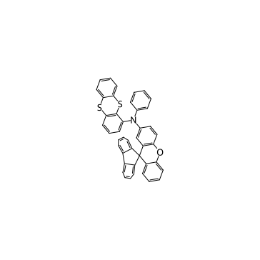 c1ccc(N(c2ccc3c(c2)C2(c4ccccc4O3)c3ccccc3-c3ccccc32)c2cccc3c2Sc2ccccc2S3)cc1